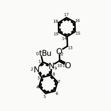 CC(C)(C)c1nc2ccccc2n1C(=O)OCc1ccccc1